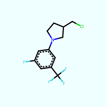 Fc1cc(N2CCC(CCl)C2)cc(C(F)(F)F)c1